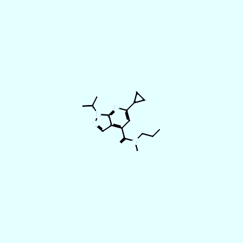 CCCN(C)C(=O)c1cc(C2CC2)nc2c1cnn2C(C)C